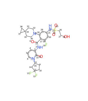 O=C(Nc1cccn([C@H]2CCC(F)(F)C2)c1=O)c1c(F)cc(NS(=O)(=O)CCO)cc1N1CCC2(CC1)CC2